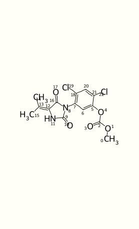 COC(=O)Oc1cc(N2C(=O)NC(=C(C)C)C2=O)c(Cl)cc1Cl